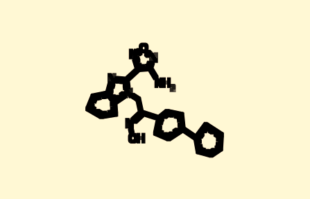 Nc1nonc1-c1nc2ccccc2n1CC(=NO)c1ccc(-c2ccccc2)cc1